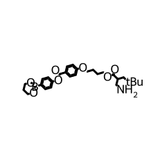 CC(C)(C)CC(CN)C(=O)OCCCCOc1ccc(C(=O)Oc2ccc(B3OCCCO3)cc2)cc1